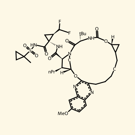 CCC[C@@H]1[C@@H]2CN(C(=O)[C@H](C(C)(C)C)NC(=O)O[C@@H]3CC3CCCCCc3nc4ccc(OC)cc4nc3O2)[C@@H]1C(=O)N[C@]1(C(=O)NS(=O)(=O)C2(C)CC2)C[C@H]1C(F)F